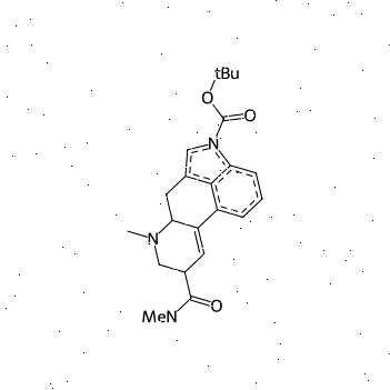 CNC(=O)C1C=C2c3cccc4c3c(cn4C(=O)OC(C)(C)C)CC2N(C)C1